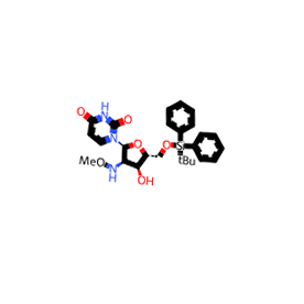 CON[C@@H]1[C@H](O)[C@@H](CO[Si](c2ccccc2)(c2ccccc2)C(C)(C)C)O[C@H]1n1ccc(=O)[nH]c1=O